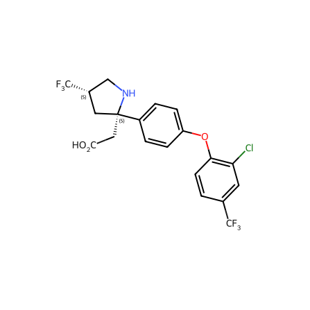 O=C(O)C[C@]1(c2ccc(Oc3ccc(C(F)(F)F)cc3Cl)cc2)C[C@H](C(F)(F)F)CN1